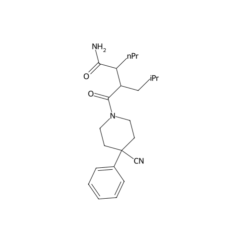 CCCC(C(N)=O)C(CC(C)C)C(=O)N1CCC(C#N)(c2ccccc2)CC1